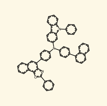 c1ccc(-c2nc3c(-c4ccc(N(c5ccc(-c6cccc7ccccc67)cc5)c5ccc6c7ccccc7n(-c7ccccc7)c6c5)cc4)cc4ccccc4c3o2)cc1